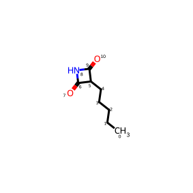 CCCCCC1C(=O)NC1=O